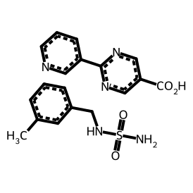 Cc1cccc(CNS(N)(=O)=O)c1.O=C(O)c1cnc(-c2cccnc2)nc1